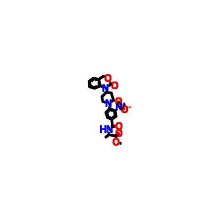 COC(=O)C(C)NC(=O)c1ccc(N2CCC(N3C(=O)OCc4ccccc43)CC2)c([N+](=O)[O-])c1